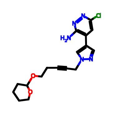 Nc1nnc(Cl)cc1-c1cnn(CC#CCCOC2CCCCO2)c1